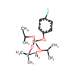 CC(C)[O][Zr]([O]c1ccc(F)cc1)([O]C(C)C)[O][Si](C)(C)C